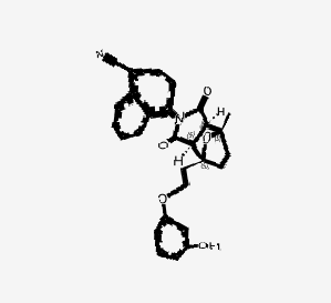 C[C@@]12CC[C@@](CCOc3cccc(O)c3)(O1)[C@H]1C(=O)N(c3ccc(C#N)c4ccccc34)C(=O)[C@H]12